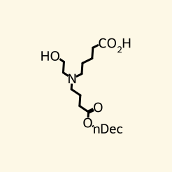 CCCCCCCCCCOC(=O)CCCN(CCO)CCCCC(=O)O